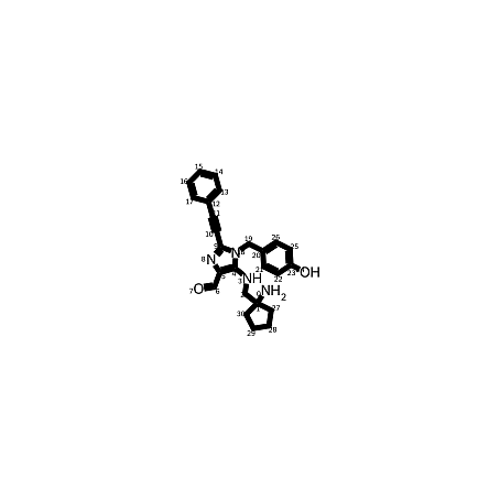 NC1(CNc2c(C=O)nc(C#Cc3ccccc3)n2Cc2ccc(O)cc2)CCCC1